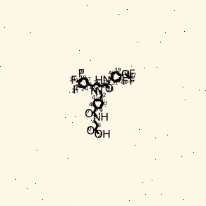 O=C(O)CCNC(=O)c1ccc(Cn2nc(-c3cc(F)c(F)c(F)c3)cc2C(=O)Nc2ccc(OC(F)(F)F)cc2)cc1